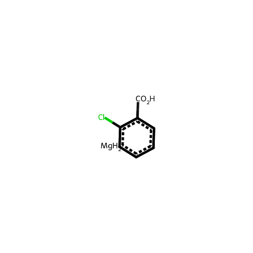 O=C(O)c1ccccc1Cl.[MgH2]